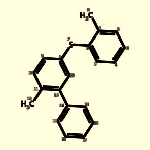 Cc1ccccc1Sc1ccc(C)c(-c2ccccc2)c1